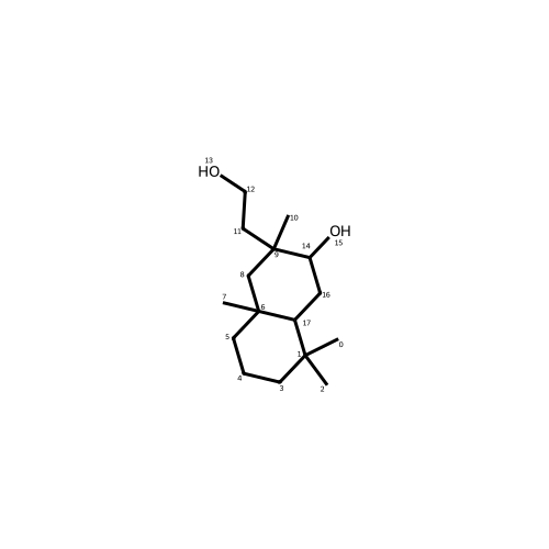 CC1(C)CCCC2(C)CC(C)(CCO)C(O)CC12